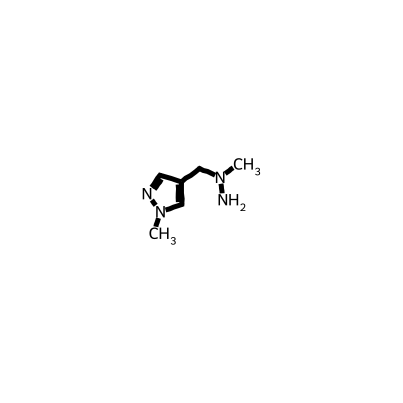 CN(N)Cc1cnn(C)c1